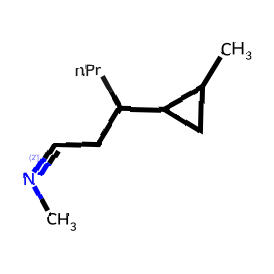 CCCC(C/C=N\C)C1CC1C